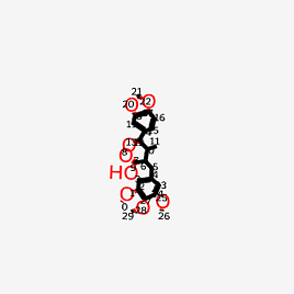 COc1cc(CC(C(=O)O)C(C)C(=O)c2ccc3c(c2)OCO3)cc(OC)c1OC